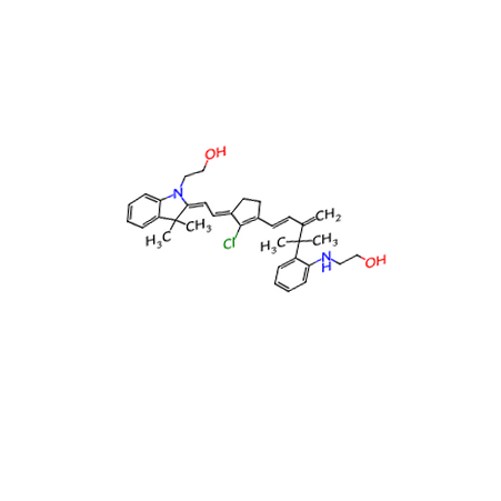 C=C(/C=C/C1=C(Cl)C(=C/C=C2/N(CCO)c3ccccc3C2(C)C)/CC1)C(C)(C)c1ccccc1NCCO